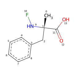 C[C@@](Cc1ccccc1)(NF)C(=O)O